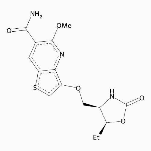 CC[C@@H]1OC(=O)N[C@@H]1COc1csc2cc(C(N)=O)c(OC)nc12